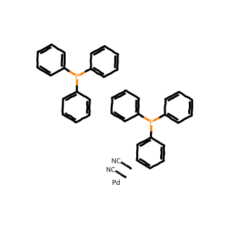 CC#N.CC#N.[Pd].c1ccc(P(c2ccccc2)c2ccccc2)cc1.c1ccc(P(c2ccccc2)c2ccccc2)cc1